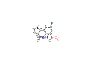 COC(=O)c1cc(F)cc2c1[nH]c(=O)c1sccc12